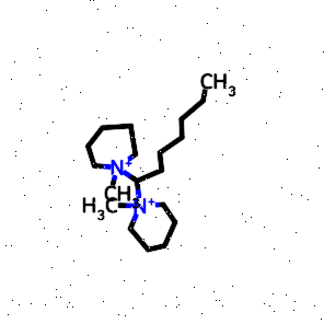 CCCCCCC([N+]1(C)CCCCC1)[N+]1(C)CCCCC1